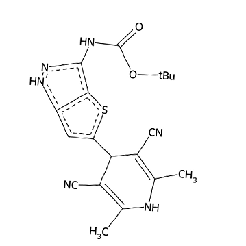 CC1=C(C#N)C(c2cc3[nH]nc(NC(=O)OC(C)(C)C)c3s2)C(C#N)=C(C)N1